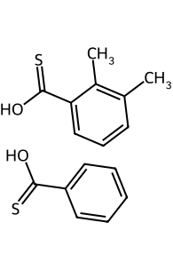 Cc1cccc(C(O)=S)c1C.OC(=S)c1ccccc1